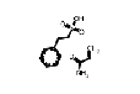 C=CC(N)=O.O=S(=O)(O)CCc1ccccc1